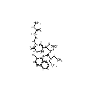 CCC(CC)C(=O)N1CCCC1C(=O)N[C@H](Cc1ccc2ccccc2c1)C(=O)NCCNC(=O)CN.Cl